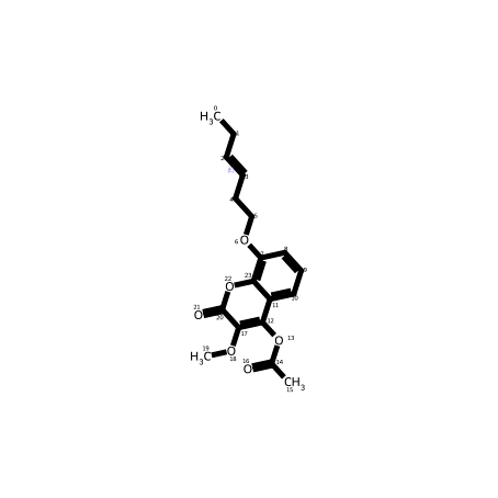 CC/C=C/CCOc1cccc2c(OC(C)=O)c(OC)c(=O)oc12